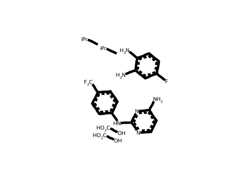 CC(C)C.CC(C)C.Nc1ccc(F)cc1N.Nc1ccnc(Nc2ccc(C(F)(F)F)cc2)n1.O=C(O)O.O=C(O)O